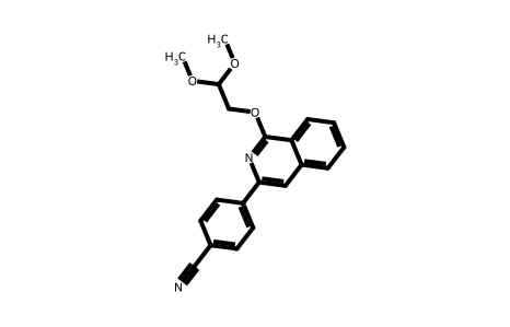 COC(COc1nc(-c2ccc(C#N)cc2)cc2ccccc12)OC